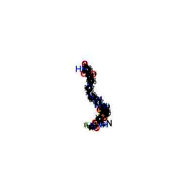 N#Cc1c(NS(=O)(=O)N2CC[C@@H](F)C2)ccc(F)c1Oc1ccc2ncn(-c3cnc(N4CCN(CC5CCN(c6ccc7c(c6)CN(C6CCC(=O)NC6=O)C7=O)CC5)CC4)cn3)c(=O)c2c1